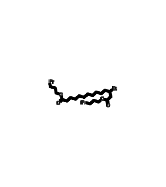 CCC(CCCCCCCCCCC(=O)OCCCC(C)C)CC(=O)OCCCC(C)C